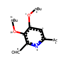 CCCCOc1cc(C(C)=O)nc(C=O)c1OCCCC